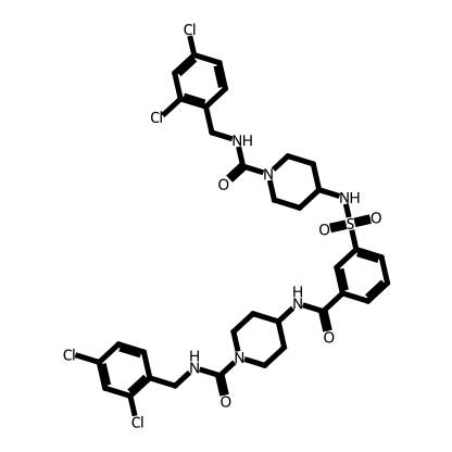 O=C(NC1CCN(C(=O)NCc2ccc(Cl)cc2Cl)CC1)c1cccc(S(=O)(=O)NC2CCN(C(=O)NCc3ccc(Cl)cc3Cl)CC2)c1